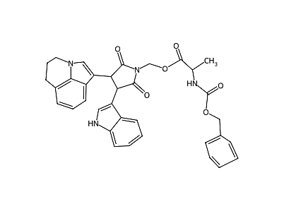 CC(NC(=O)OCc1ccccc1)C(=O)OCN1C(=O)C(c2c[nH]c3ccccc23)C(c2cn3c4c(cccc24)CCC3)C1=O